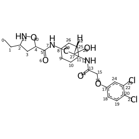 CCC1CC(C(=O)NC23CCC(NC(=O)COc4ccc(Cl)c(Cl)c4)(CC2)[C@@H](O)C3)ON1